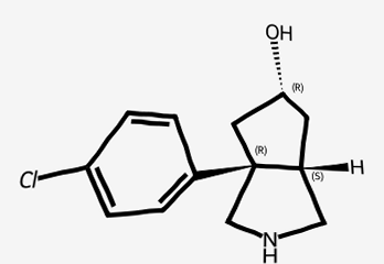 O[C@@H]1C[C@@H]2CNC[C@]2(c2ccc(Cl)cc2)C1